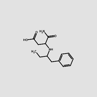 CCC(Cc1ccccc1)NC(CC(=O)O)C(N)=O